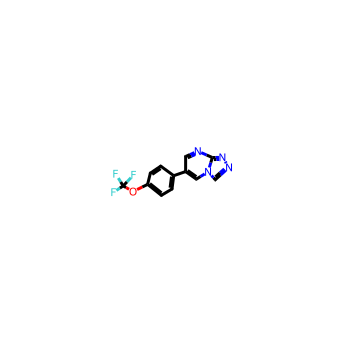 FC(F)(F)Oc1ccc(-c2cnc3nncn3c2)cc1